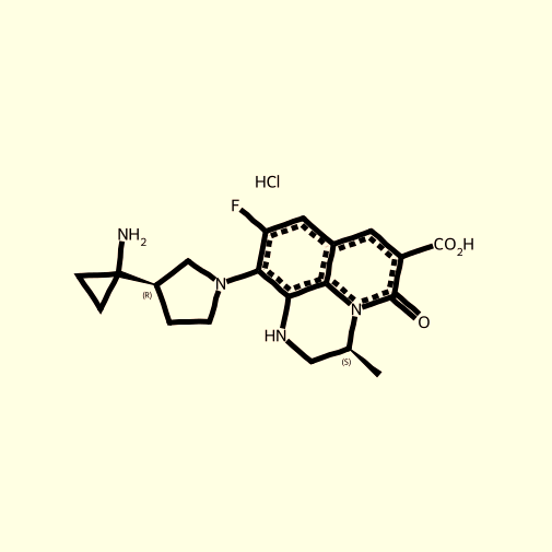 C[C@H]1CNc2c(N3CC[C@@H](C4(N)CC4)C3)c(F)cc3cc(C(=O)O)c(=O)n1c23.Cl